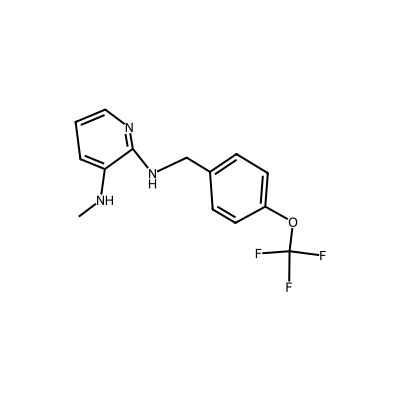 CNc1cccnc1NCc1ccc(OC(F)(F)F)cc1